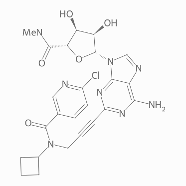 CNC(=O)[C@H]1O[C@@H](n2cnc3c(N)nc(C#CCN(C(=O)c4ccc(Cl)nc4)C4CCC4)nc32)[C@H](O)[C@@H]1O